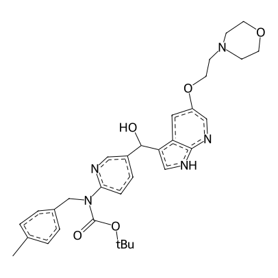 Cc1ccc(CN(C(=O)OC(C)(C)C)c2ccc(C(O)c3c[nH]c4ncc(OCCN5CCOCC5)cc34)cn2)cc1